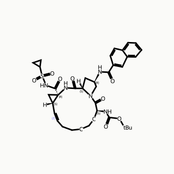 CC(C)(C)OC(=O)N[C@H]1CCCCC/C=C\[C@@H]2C[C@@]2(C(=O)NS(=O)(=O)C2CC2)NC(=O)[C@@H]2C[C@@H](NC(=O)c3ccc4ccccc4c3)CN2C1=O